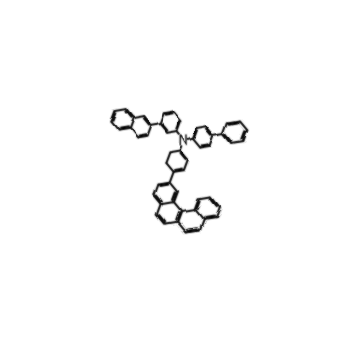 C1=C(c2ccc3ccc4ccc5ccccc5c4c3c2)CCC(N(c2ccc(-c3ccccc3)cc2)c2cccc(-c3ccc4ccccc4c3)c2)=C1